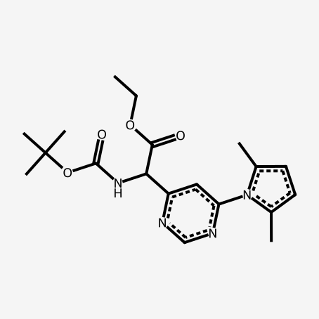 CCOC(=O)C(NC(=O)OC(C)(C)C)c1cc(-n2c(C)ccc2C)ncn1